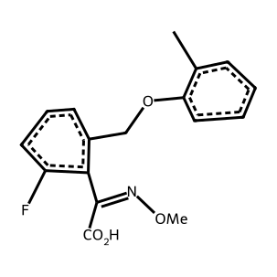 CON=C(C(=O)O)c1c(F)cccc1COc1ccccc1C